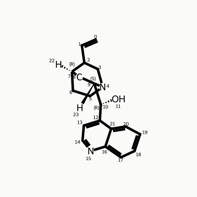 C=CC1CN2CC[C@@H]1C[C@H]2[C@H](O)c1ccnc2ccccc12